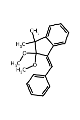 COC1(OC)C(=Cc2ccccc2)c2ccccc2C1(C)C